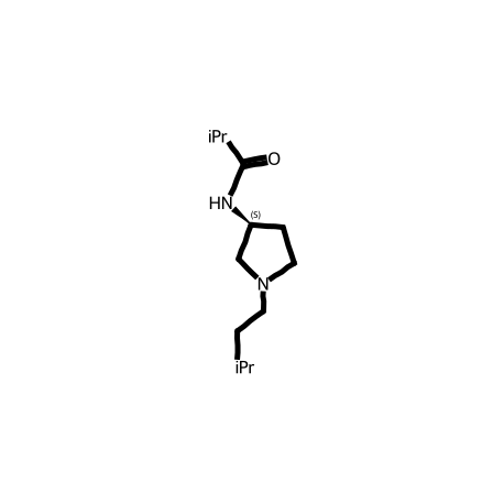 CC(C)CCN1CC[C@H](NC(=O)C(C)C)C1